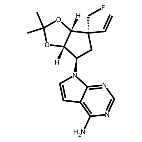 C=C[C@@]1(CF)C[C@@H](n2ccc3c(N)ncnc32)[C@@H]2OC(C)(C)O[C@@H]21